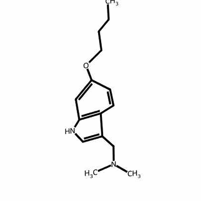 CCCCOc1ccc2c(CN(C)C)c[nH]c2c1